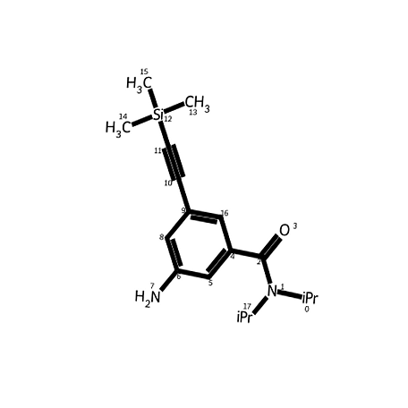 CC(C)N(C(=O)c1cc(N)cc(C#C[Si](C)(C)C)c1)C(C)C